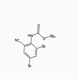 CC(C)(C)OC(=O)Nc1c(Br)cc(Br)cc1C#N